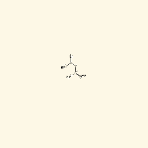 CCC(C[C@H](P)NC)C(C)(C)C